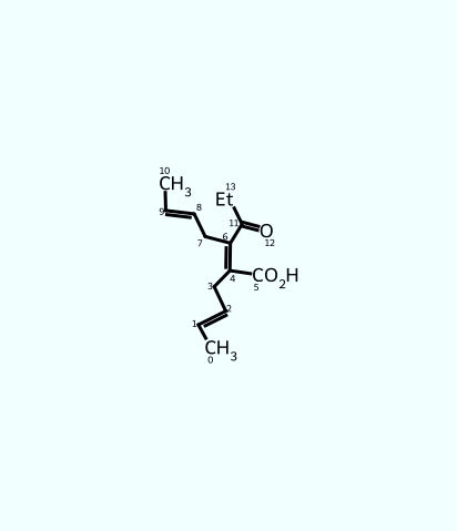 C/C=C/C/C(C(=O)O)=C(\C/C=C/C)C(=O)CC